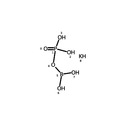 O=P(O)(O)OB(O)O.[KH]